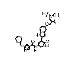 CN(C)CC1(COc2ccc3[nH]c(-c4cc(NC(=O)c5cnn(Cc6ccccc6)c5)c[nH]c4=O)cc3c2)CC1